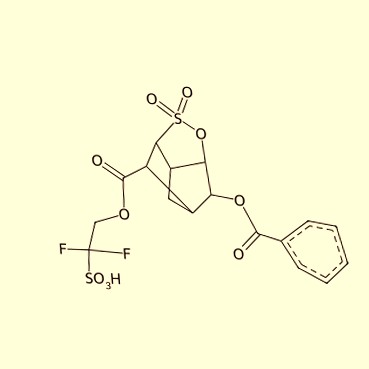 O=C(OC1C2CC3C1OS(=O)(=O)C3C2C(=O)OCC(F)(F)S(=O)(=O)O)c1ccccc1